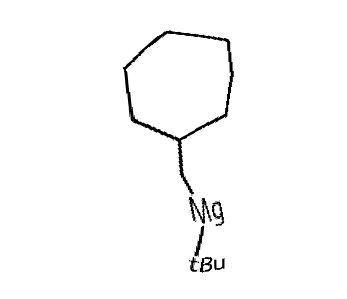 C[C](C)(C)[Mg][CH]1CCCCC1